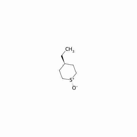 CC[C@H]1CC[S@+]([O-])CC1